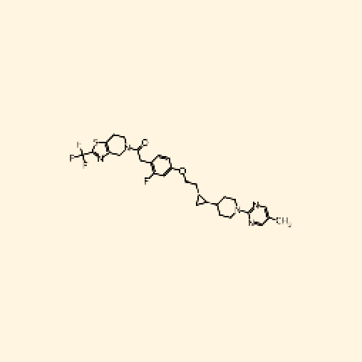 Cc1cnc(N2CCC([C@H]3C[C@H]3CCOc3ccc(CC(=O)N4CCc5sc(C(F)(F)F)nc5C4)c(F)c3)CC2)nc1